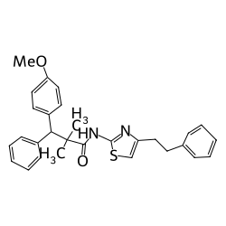 COc1ccc(C(c2ccccc2)C(C)(C)C(=O)Nc2nc(CCc3ccccc3)cs2)cc1